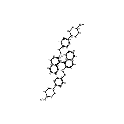 CCCC1CCC(c2ccc(COc3ccc4ccccc4c3-c3c(OCc4ccc(C5CCC(CCC)CC5)cc4)ccc4ccccc34)cc2)CC1